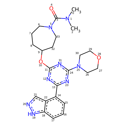 CN(C)C(=O)N1CCCC(Oc2nc(-c3cccc4[nH]ncc34)nc(N3CCOCC3)n2)CC1